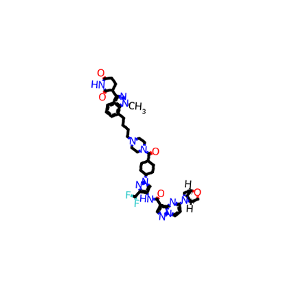 Cn1nc(C2CCC(=O)NC2=O)c2cccc(CCCCN3CCN(C(=O)C4CCC(n5cc(NC(=O)c6cnn7ccc(N8C[C@H]9C[C@@H]8CO9)nc67)c(C(F)F)n5)CC4)CC3)c21